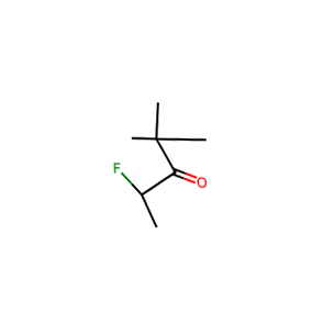 CC(F)C(=O)C(C)(C)C